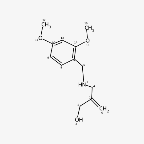 C=C(CO)CNCc1ccc(OC)cc1OC